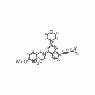 COc1ccc(CN(CC(=O)O)c2cc(N3CCOCC3)nn3c(C#CC4CC4)cnc23)cc1